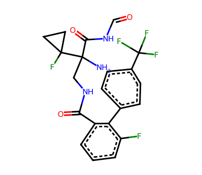 NC(CNC(=O)c1cccc(F)c1-c1ccc(C(F)(F)F)cc1)(C(=O)NC=O)C1(F)CC1